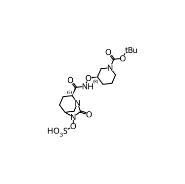 CC(C)(C)OC(=O)N1CCC[C@@H](ONC(=O)[C@@H]2CCC3CN2C(=O)N3OS(=O)(=O)O)C1